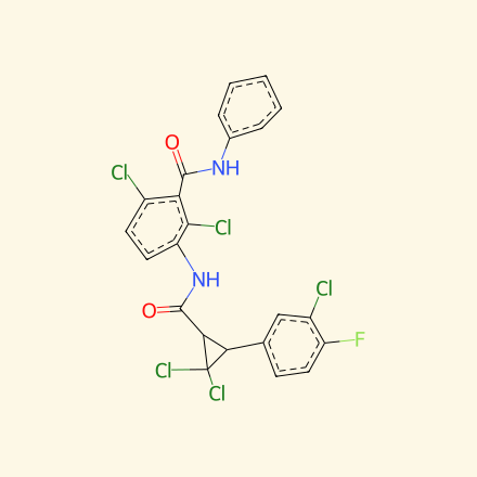 O=C(Nc1ccccc1)c1c(Cl)ccc(NC(=O)C2C(c3ccc(F)c(Cl)c3)C2(Cl)Cl)c1Cl